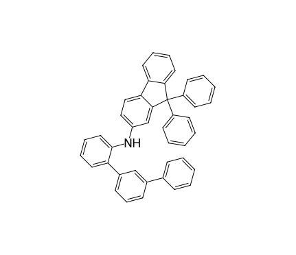 c1ccc(-c2cccc(-c3ccccc3Nc3ccc4c(c3)C(c3ccccc3)(c3ccccc3)c3ccccc3-4)c2)cc1